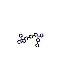 c1ccc(-c2ccc(N(c3ccncc3)c3cccc(-c4ccc(-c5ccc6c(ccc7c6c(-c6ccccc6)c6ccccn67)c5)cc4)c3)cc2)cc1